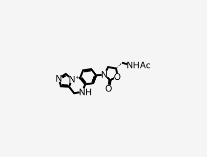 CC(=O)NC[C@H]1CN(c2ccc3c(c2)NCC2=CN=C[N+]23)C(=O)O1